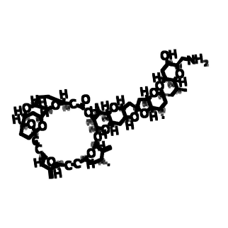 C=C1C[C@@H]2CC[C@]34CC[C@H](O3)[C@H]3C[C@@H](O4)[C@H]4O[C@H](CC[C@@H]4O3)CC(=O)O[C@@H]3[C@@H](C)[C@@H]4O[C@@H]5C[C@]6(C[C@@H]7O[C@]8(C[C@H](C)[C@@H]9O[C@H](CN)[C@H](O)C[C@@H]9O8)C[C@H](C)[C@@H]7O6)O[C@@H]5C[C@@H]4O[C@H]3C[C@H]3O[C@@H](CC[C@@H]1O2)C[C@@H](C)C3=C